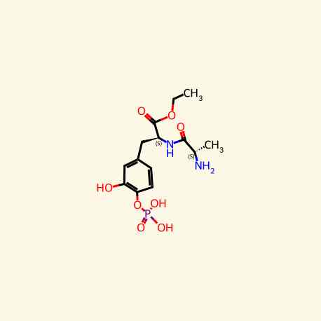 CCOC(=O)[C@H](Cc1ccc(OP(=O)(O)O)c(O)c1)NC(=O)[C@H](C)N